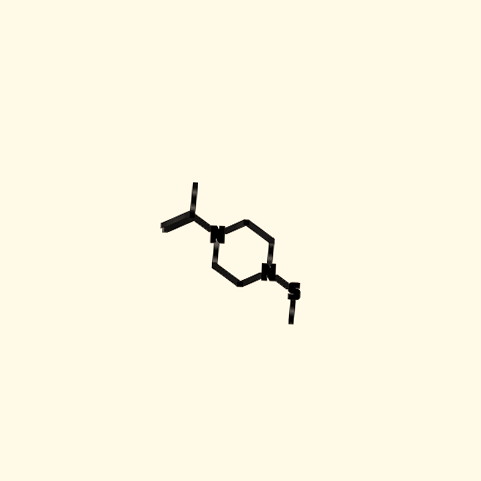 C=C(C)N1CCN(SC)CC1